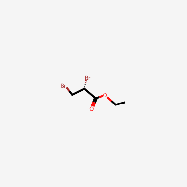 CCOC(=O)[C@@H](Br)CBr